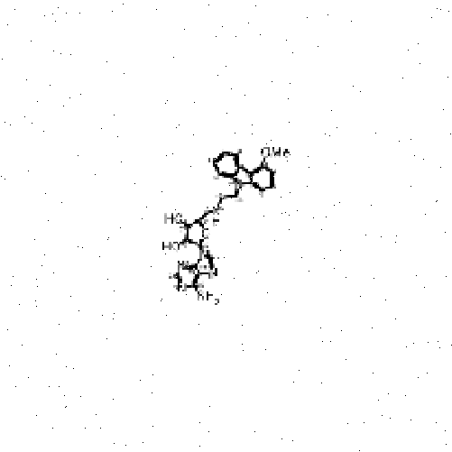 COc1cccc2c1c1ccccc1n2CCNCC1OC(n2cnc3c(N)ncnc32)C(O)C1O